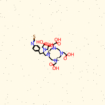 O=C(O)CN1CCN(CC(=O)O)CCN(CC(Cc2ccc(N=C=S)cc2)N(CC(=O)O)CC(=O)O)CCN(CC(=O)O)CC1